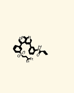 C=CC(=O)Nc1cccc(-c2cnc(C)c(/C(=C\CCC)c3cccc(S(=O)(=O)CCC(CC)CC)c3)c2)c1